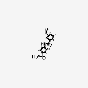 CC(=O)c1ccc(NC(=O)c2cccc(C=O)c2)cc1